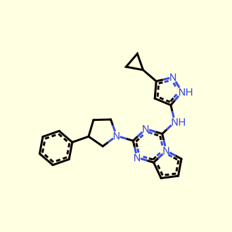 c1ccc(C2CCN(c3nc(Nc4cc(C5CC5)n[nH]4)n4cccc4n3)C2)cc1